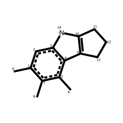 Cc1cc2c(c(C)c1C)C1=C(CCC1)[N]2